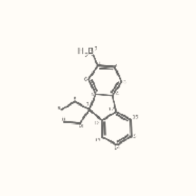 Bc1ccc2c(c1)C(CC)(CC)c1ccccc1-2